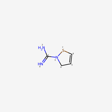 N=C(N)N1CC=CS1